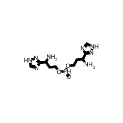 NC(CCO[PH](=O)OCCC(N)c1nc[nH]n1)c1nc[nH]n1